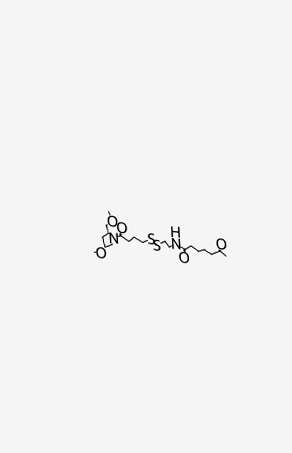 COC[C@@H]1CC(OC)CN1C(=O)CCCSSCCNC(=O)CCCCC(C)=O